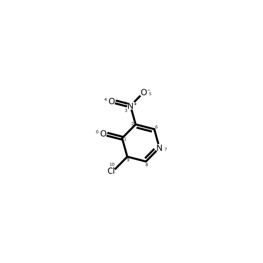 O=C1C([N+](=O)[O-])=CN=CC1Cl